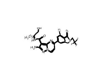 C[C@H](CO)NC(=O)c1c(N)nn2ccc(-c3cc(Cl)c4c(c3)CN(CC(F)(F)F)C4=O)nc12